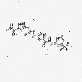 CNC(=O)c1cn(C[C@H](F)CCc2nnc(C(=O)NCc3cc(C(F)(F)F)ccn3)s2)nn1